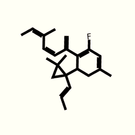 C=C(/C=C\C(C)=C/C)C1=C(F)C=C(C)CC1C1(C=CC)CC1(C)C